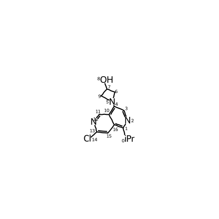 CC(C)c1ncc(N2CC(O)C2)c2cnc(Cl)cc12